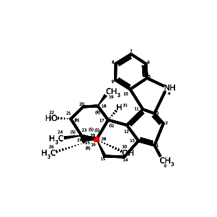 Cc1cc2[nH]c3ccccc3c2c2c1CC[C@]13[C@H]2[C@H](C)C[C@@H](O)[C@@]1(C)[C@H](C)CC[C@@H]3O